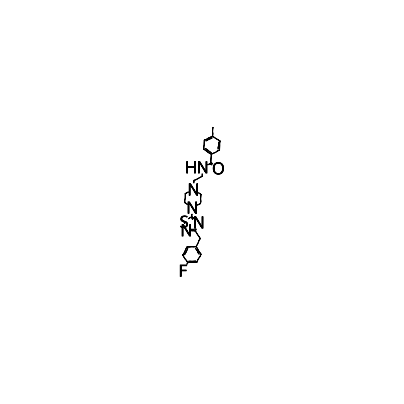 Cc1ccc(C(=O)NCCN2CCN(c3nc(Cc4ccc(F)cc4)ns3)CC2)cc1